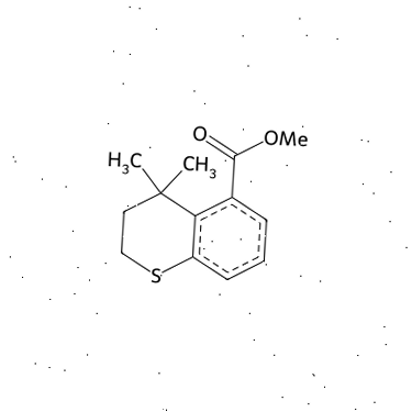 COC(=O)c1cccc2c1C(C)(C)CCS2